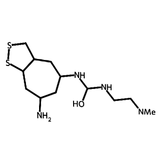 CNCCNC(O)NC1CC(N)CC2SSCC2C1